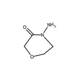 NN1CCOCC1=O